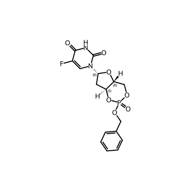 O=c1[nH]c(=O)n([C@H]2C[C@@H]3OP(=O)(OCc4ccccc4)OC[C@H]3O2)cc1F